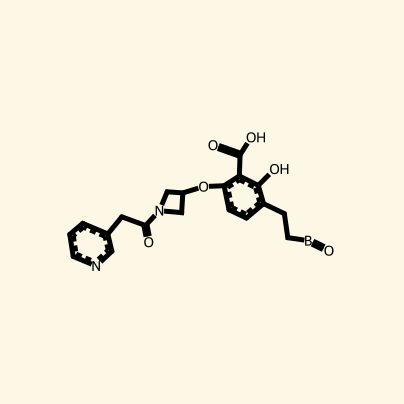 O=BCCc1ccc(OC2CN(C(=O)Cc3cccnc3)C2)c(C(=O)O)c1O